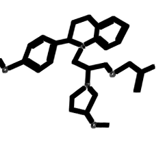 C=C(C)COCC(CN1c2ccccc2CCC1c1ccc(OC)cc1)N1CCC(OC)C1